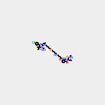 C=CNC(=O)C(CCC)N1Cc2c(NC(=O)CCCNCCCCCOCCCCCNC(=C)C[C@H]3CN(C(C)=N)c4sc(C)c(C)c4C(c4ccc(Cl)cc4)=N3)cccc2C1=O